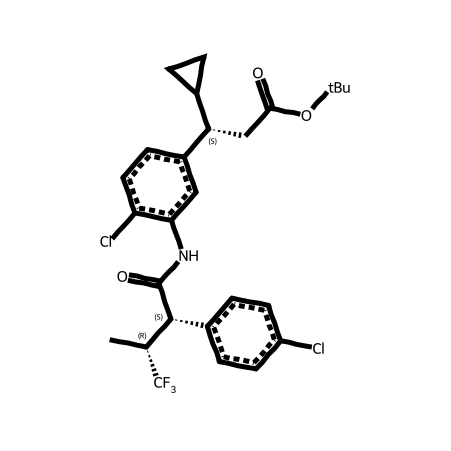 C[C@H]([C@H](C(=O)Nc1cc([C@@H](CC(=O)OC(C)(C)C)C2CC2)ccc1Cl)c1ccc(Cl)cc1)C(F)(F)F